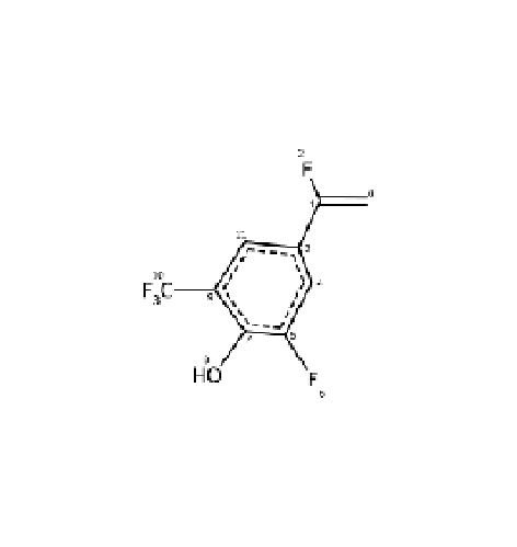 C=C(F)c1cc(F)c(O)c(C(F)(F)F)c1